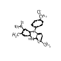 CCN(CC)c1cc2c(cc1C)NC1=[C+]C(C)=CC=C1N2c1ccc(C)cc1.[Cl-]